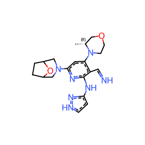 C[C@@H]1COCCN1c1cc(N2CC3CCC(C2)O3)nc(Nc2cc[nH]n2)c1C=N